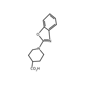 O=C(O)C1CCN(c2nc3ccccc3o2)CC1